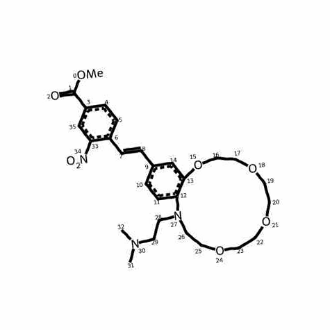 COC(=O)c1ccc(/C=C/c2ccc3c(c2)OCCOCCOCCOCCN3CCN(C)C)c([N+](=O)[O-])c1